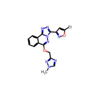 CCc1cc(-c2nnc3c4ccccc4c(OCc4ncn(C)n4)nn23)no1